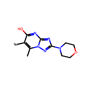 [2H]c1c(O)nc2nc(N3CCOCC3)nn2c1C